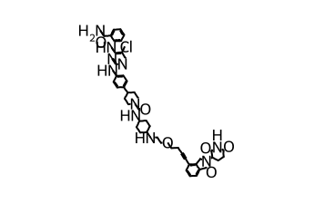 NC(=O)c1ccccc1Nc1nc(Nc2ccc(C3CCN(C(=O)N[C@H]4CC[C@H](NCCOCCC#Cc5cccc6c5CN(C5CCC(=O)NC5=O)C6=O)CC4)CC3)cc2)ncc1Cl